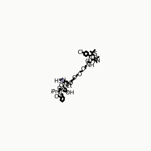 CCC(=CC(C)(/N=C\S)NC(=O)[C@@H]1C[C@@H](O)CN1C(=O)[C@H](C(C)C)N1Cc2ccccc2C1=O)OCCOCCOCCOCCNC(=O)C[C@@H]1N=C(c2ccc(Cl)cc2)c2c(sc(C)c2C)-n2c(C)nnc21